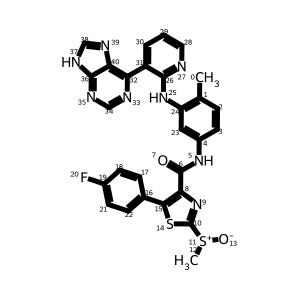 Cc1ccc(NC(=O)c2nc([S+](C)[O-])sc2-c2ccc(F)cc2)cc1Nc1ncccc1-c1ncnc2[nH]cnc12